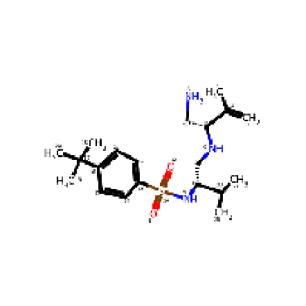 C=C(C)[C@@H](CN)NC[C@@H](NS(=O)(=O)c1ccc(C(C)(C)C)cc1)C(C)C